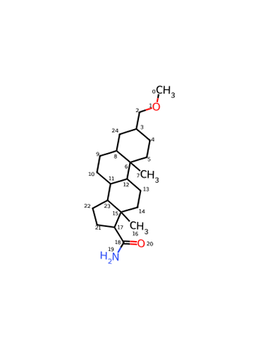 COCC1CCC2(C)C(CCC3C2CCC2(C)C(C(N)=O)CCC32)C1